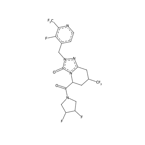 O=C(C1CC(C(F)(F)F)Cc2nn(Cc3ccnc(C(F)(F)F)c3F)c(=O)n21)N1CC(F)C(F)C1